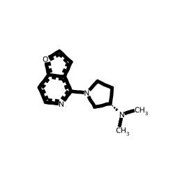 CN(C)[C@H]1CCN(c2nccc3occc23)C1